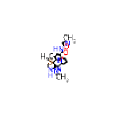 CCn1nc(-c2ccccn2)c2c1NCCSC2c1ccc(C(=O)Nc2cc(C)no2)cc1C